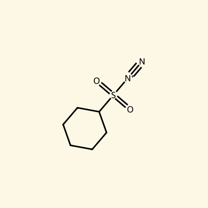 N#[N+]S(=O)(=O)C1CCCCC1